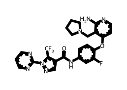 Nc1nccc(Oc2ccc(NC(=O)c3cnn(-c4ncccn4)c3C(F)(F)F)cc2F)c1CN1CCCC1